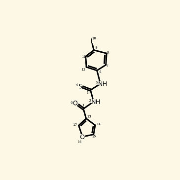 O=C(NC(=S)Nc1ccc(I)cc1)c1ccoc1